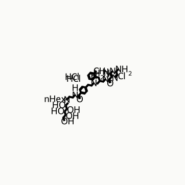 CCCCCCN(CCNC(=O)c1ccc(CCNCC(CNC(=O)c2nc(Cl)c(N)nc2N)Cc2ccccc2C)cc1)CC(O)C(O)C(O)C(O)CO.Cl.Cl